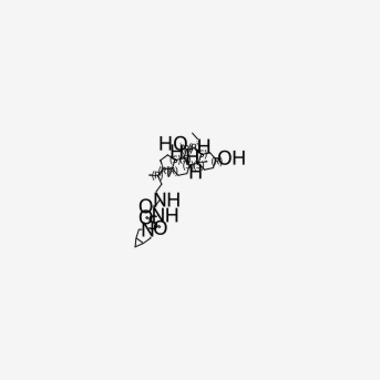 CC[C@H]1[C@@H](O)[C@@H]2[C@H](CC[C@]3(C)[C@@H]([C@H](C)CCNC(=O)NS(=O)(=O)N4CC5CC5C4)CC[C@@H]23)[C@@]2(C)CC[C@@H](O)C[C@@H]12